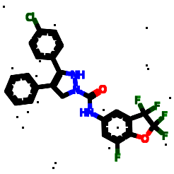 O=C(Nc1cc(F)c2c(c1)C(F)(F)C(F)(F)O2)N1CC(c2ccccc2)=C(c2ccc(Cl)cc2)N1